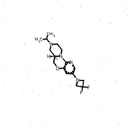 CC(C)N1CCN2c3ncc(N4CC(F)(F)C4)cc3OC[C@@H]2C1